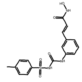 Cc1ccc(S(=O)(=O)NC(=O)Nc2cccc(/C=C/C(=O)NO)c2)cc1